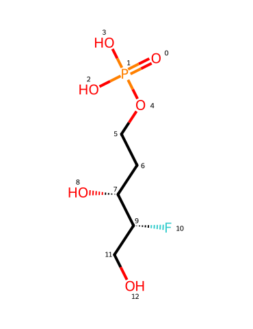 O=P(O)(O)OCC[C@@H](O)[C@H](F)CO